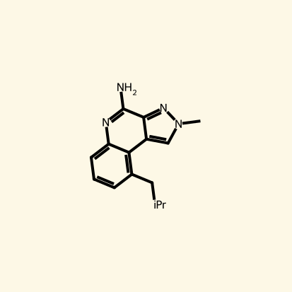 CC(C)Cc1cccc2nc(N)c3nn(C)cc3c12